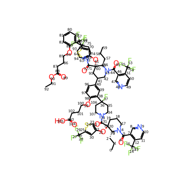 CCC[C@H]1N(C(=O)c2cnccc2C(F)(F)F)CCC[C@@]1(Oc1csc(C(F)(F)F)c1)C(=O)N1CCC(F)(c2cc(C3CN(C(=O)c4cnccc4C(F)(F)F)[C@H](CCC)[C@](Oc4csc(C(F)(F)F)c4)(C(=O)N4CCC(F)(c5ccccc5OCCCC(=O)OCC)CC4)C3)ccc2OCCCC(=O)O)CC1